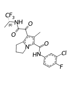 Cc1c(C(=O)C(=O)N[C@H](C)C(F)(F)F)c2n(c1C(=O)Nc1ccc(F)c(Cl)c1)CCC2